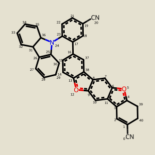 N#CC1=Cc2c(oc3cc4c(cc23)oc2ccc(-c3cc(C#N)ccc3N3C5=C(C=CCC5)C5C=CC=CC53)cc24)CC1